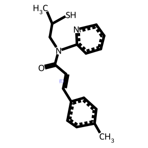 Cc1ccc(/C=C/C(=O)N(CC(C)S)c2ccccn2)cc1